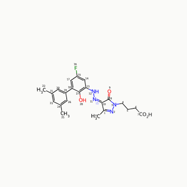 CC1=NN(CCCC(=O)O)C(=O)/C1=N\Nc1cc(F)cc(-c2cc(C)cc(C)c2)c1O